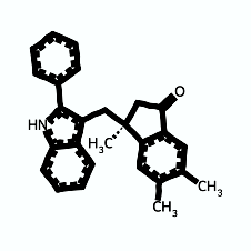 Cc1cc2c(cc1C)[C@@](C)(Cc1c(-c3ccccc3)[nH]c3ccccc13)CC2=O